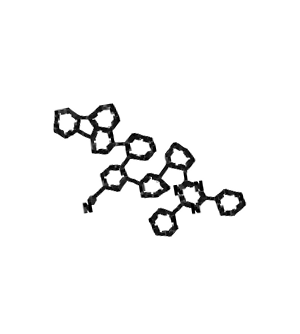 N#Cc1ccc(-c2ccccc2-c2ccc3c4c(cccc24)-c2ccccc2-3)c(-c2cccc(-c3ccccc3-c3nc(-c4ccccc4)nc(-c4ccccc4)n3)c2)c1